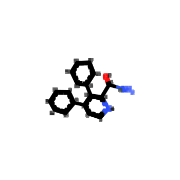 NC(=O)c1nccc(-c2ccccc2)c1-c1ccccc1